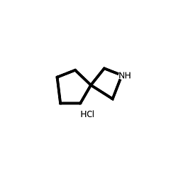 C1CCC2(C1)CNC2.Cl